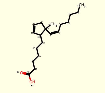 CCCCC/C=C\C1(C)CC=CC1CCCCCC(=O)O